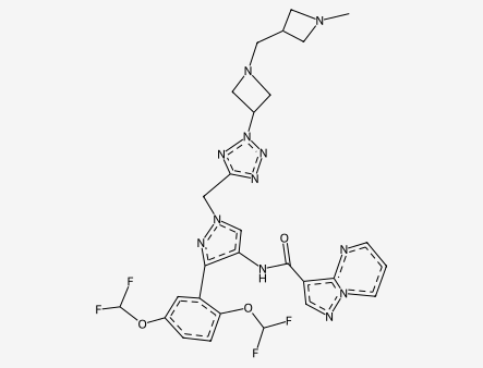 CN1CC(CN2CC(n3nnc(Cn4cc(NC(=O)c5cnn6cccnc56)c(-c5cc(OC(F)F)ccc5OC(F)F)n4)n3)C2)C1